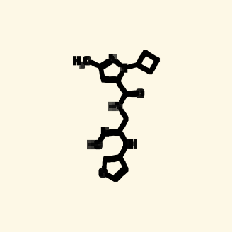 Cc1cc(C(=O)NCC(=NO)Nc2ccoc2)n(C2CCC2)n1